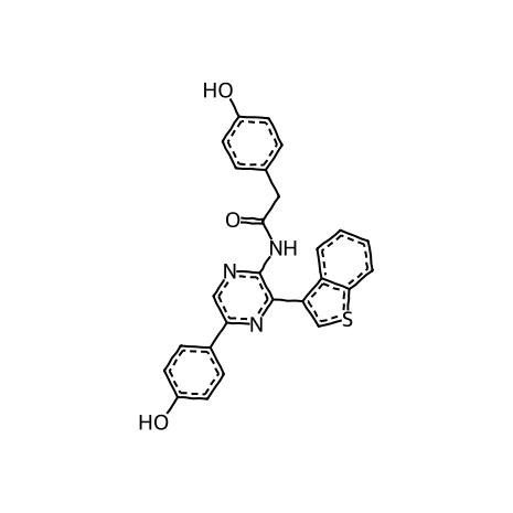 O=C(Cc1ccc(O)cc1)Nc1ncc(-c2ccc(O)cc2)nc1-c1csc2ccccc12